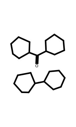 C1CCC(C2CCCCC2)CC1.O=C(C1CCCCC1)C1CCCCC1